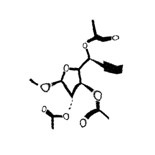 C#C[C@H](OC(C)=O)C1OC(OC)[C@@H](OC(C)=O)[C@@H]1OC(C)=O